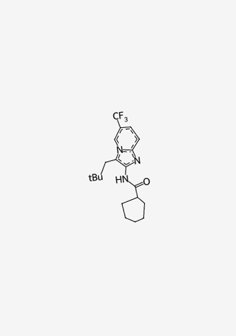 CC(C)(C)Cc1c(NC(=O)C2CCCCC2)nc2ccc(C(F)(F)F)cn12